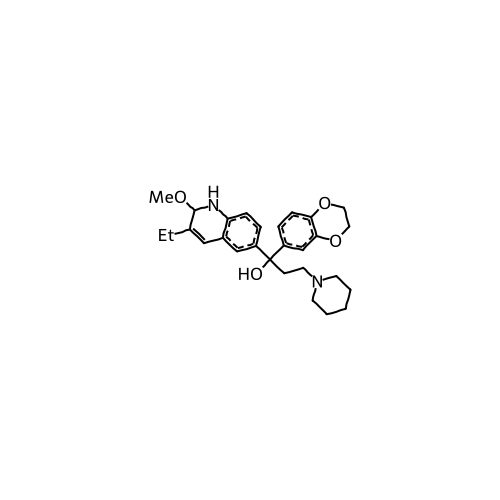 CCC1=Cc2cc(C(O)(CCN3CCCCC3)c3ccc4c(c3)OCCO4)ccc2NC1OC